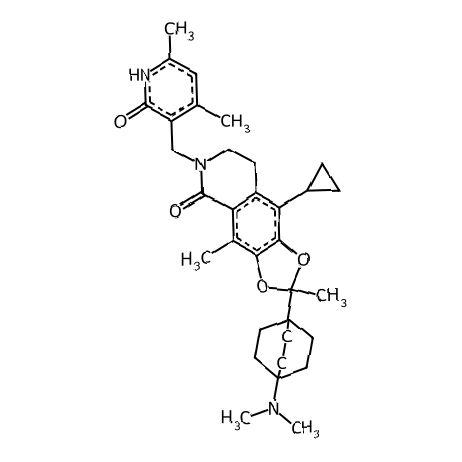 Cc1cc(C)c(CN2CCc3c(c(C)c4c(c3C3CC3)OC(C)(C35CCC(N(C)C)(CC3)CC5)O4)C2=O)c(=O)[nH]1